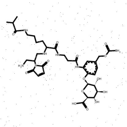 BC(=O)OCc1ccc(O[C@@H]2O[C@H](C(=O)O)[C@@H](O)[C@H](O)[C@H]2O)c(NC(=O)CCNC(=O)C(CCCCNC(=O)C(C)C)NCC(CN)N2C(=O)C=CC2=O)c1